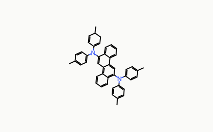 Cc1ccc(N(C2=CCC(C)C=C2)c2cc3c4ccccc4c(N(c4ccc(C)cc4)c4ccc(C)cc4)cc3c3ccccc23)cc1